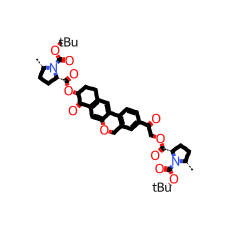 C[C@H]1CC[C@@H](C(=O)OCC(=O)c2ccc3c(c2)COc2cc4c(cc2-3)CCC(OC(=O)[C@@H]2CC[C@H](C)N2C(=O)OC(C)(C)C)C4=O)N1C(=O)OC(C)(C)C